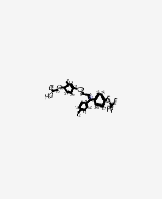 Cc1cc(OC/C=C(\c2ccc(I)cc2)c2ccc(SC(F)(F)F)cc2)ccc1OCC(=O)O